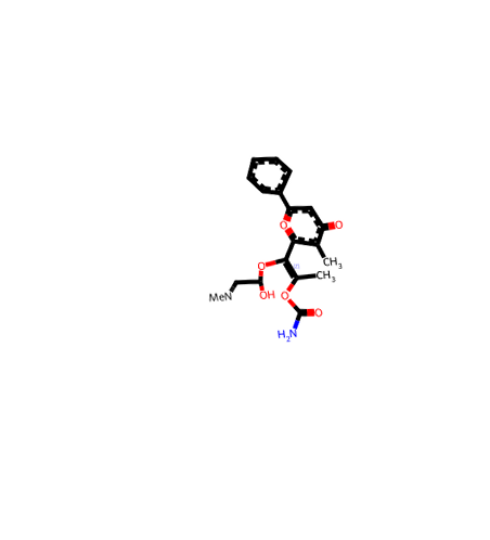 CNCC(O)O/C(=C(/C)OC(N)=O)c1oc(-c2ccccc2)cc(=O)c1C